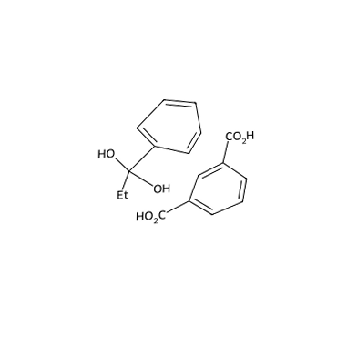 CCC(O)(O)c1ccccc1.O=C(O)c1cccc(C(=O)O)c1